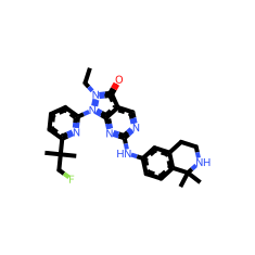 CCn1c(=O)c2cnc(Nc3ccc4c(c3)CCNC4(C)C)nc2n1-c1cccc(C(C)(C)CF)n1